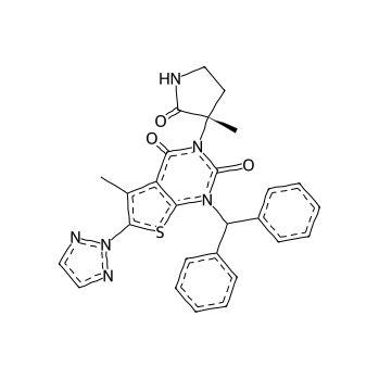 Cc1c(-n2nccn2)sc2c1c(=O)n([C@@]1(C)CCNC1=O)c(=O)n2C(c1ccccc1)c1ccccc1